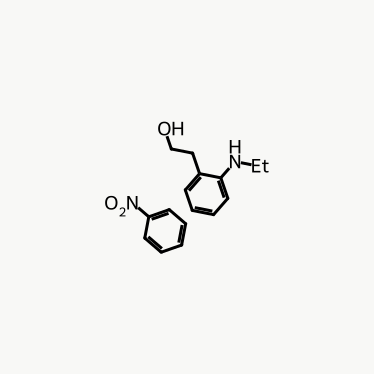 CCNc1ccccc1CCO.O=[N+]([O-])c1ccccc1